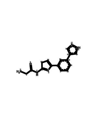 NCC(=O)NC1=NC(c2cccc(-c3cn[nH]c3)c2)=CC1